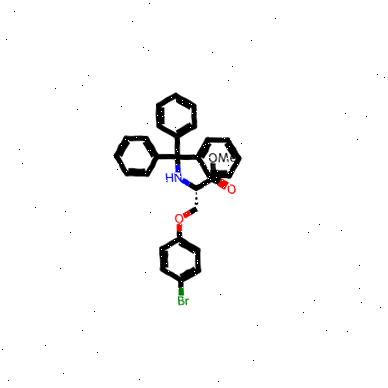 COC(=O)[C@H](COc1ccc(Br)cc1)NC(c1ccccc1)(c1ccccc1)c1ccccc1